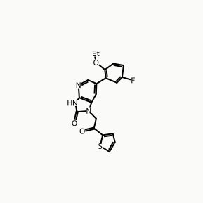 CCOc1ccc(F)cc1-c1cnc2[nH]c(=O)n(CC(=O)c3cccs3)c2c1